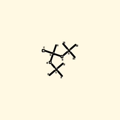 C[Si](C)(C)O[Si](C)(Cl)O[Si](C)(C)C